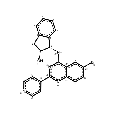 O[C@@H]1Cc2ccccc2[C@@H]1Nc1nc(-c2ccncc2)nc2ccc(Br)cc12